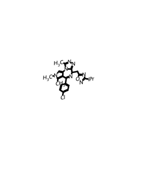 Cc1c2c(cn1C)-n1c(C)nnc1C(Cc1nc(C(C)C)no1)N=C2c1ccc(Cl)cc1